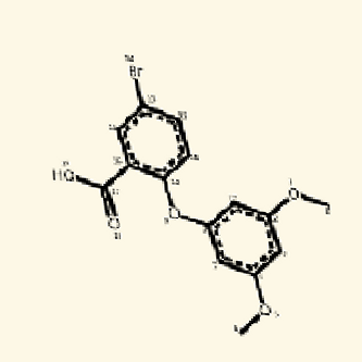 COc1cc(OC)cc(Oc2ccc(Br)cc2C(=O)O)c1